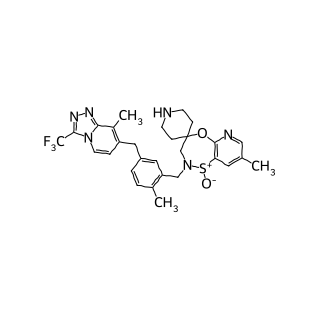 Cc1cnc2c(c1)[S+]([O-])N(Cc1cc(Cc3ccn4c(C(F)(F)F)nnc4c3C)ccc1C)CC1(CCNCC1)O2